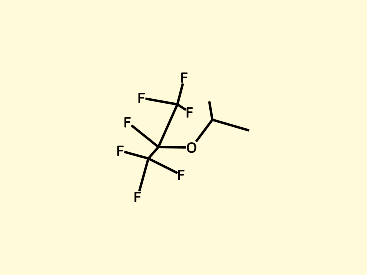 CC(C)OC(F)(C(F)(F)F)C(F)(F)F